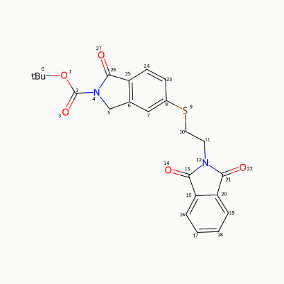 CC(C)(C)OC(=O)N1Cc2cc(SCCN3C(=O)c4ccccc4C3=O)ccc2C1=O